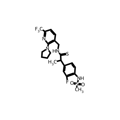 CC(C(=S)NCc1ccc(C(F)(F)F)nc1N1CCCC1)c1ccc(NS(C)(=O)=O)c(F)c1